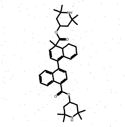 CC1(C)CC(OC(=O)c2ccc(C3=C4C=CCCC4C(C)(C(=O)OC4CC(C)(C)NC(C)(C)C4)C=C3)c3ccccc23)CC(C)(C)N1